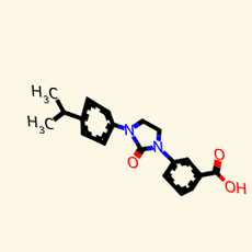 CC(C)c1ccc(N2CCN(c3cccc(C(=O)O)c3)C2=O)cc1